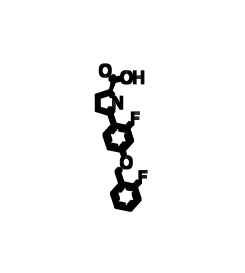 O=C(O)[C@@H]1CCC(c2ccc(OCc3ccccc3F)cc2F)=N1